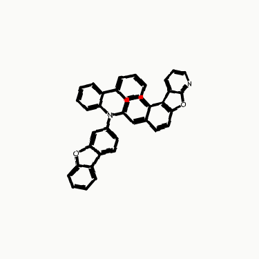 c1ccc(-c2ccccc2N(c2ccc3c(ccc4oc5ncccc5c43)c2)c2ccc3c(c2)oc2ccccc23)cc1